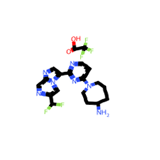 NC1CCCN(c2ccnc(-c3cnc4cnc(C(F)F)cn34)n2)CC1.O=C(O)C(F)(F)F